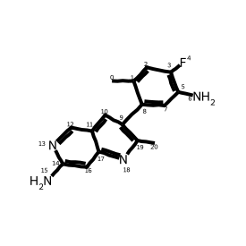 Cc1cc(F)c(N)cc1-c1cc2cnc(N)cc2nc1C